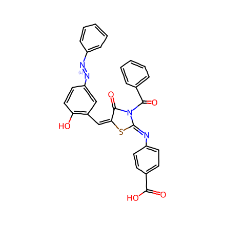 O=C(O)c1ccc(N=C2SC(=Cc3cc(/N=N/c4ccccc4)ccc3O)C(=O)N2C(=O)c2ccccc2)cc1